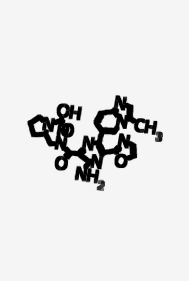 Cc1cnc2ccc(-c3nc(C(=O)NCC4CCCN4C(=O)O)c(N)nc3-c3ncco3)cn12